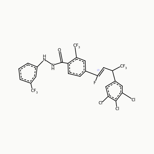 O=C(NNc1cccc(C(F)(F)F)c1)c1ccc(/C(F)=C/C(c2cc(Cl)c(Cl)c(Cl)c2)C(F)(F)F)cc1C(F)(F)F